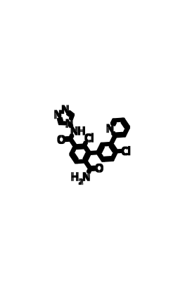 NC(=O)c1ccc(C(=O)Nn2cnnc2)c(Cl)c1-c1ccc(Cl)c(-c2ccccn2)c1